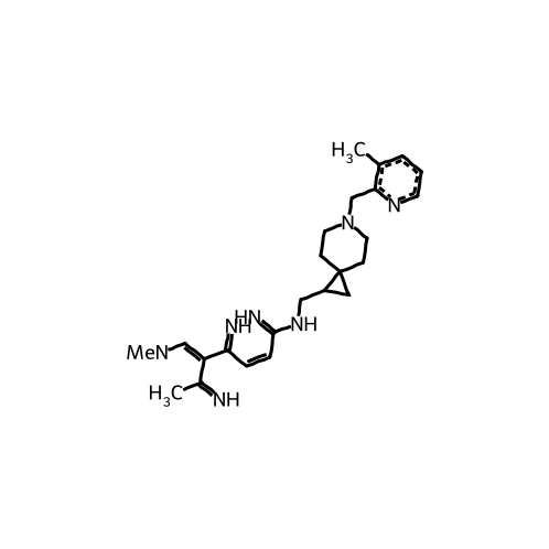 CN/C=C(\C(C)=N)C(=N)/C=C\C(=N)NCC1CC12CCN(Cc1ncccc1C)CC2